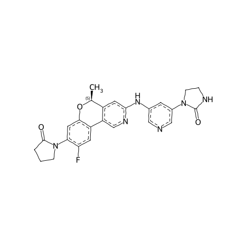 C[C@@H]1Oc2cc(N3CCCC3=O)c(F)cc2-c2cnc(Nc3cncc(N4CCNC4=O)c3)cc21